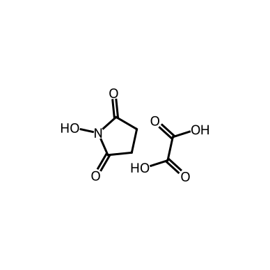 O=C(O)C(=O)O.O=C1CCC(=O)N1O